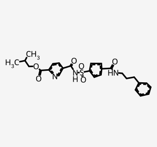 CC(C)COC(=O)c1ccc(C(=O)NS(=O)(=O)c2ccc(C(=O)NCCCc3ccccc3)cc2)cn1